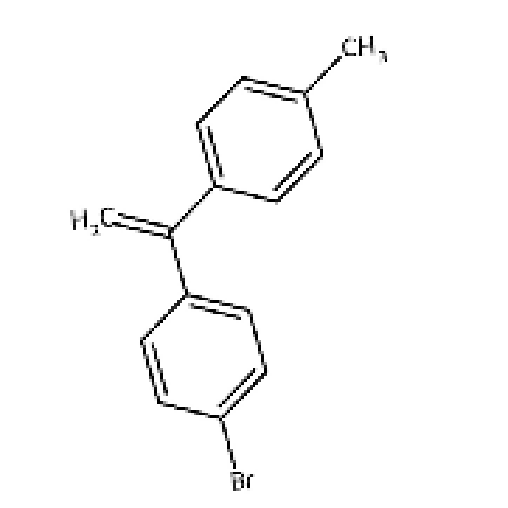 C=C(c1ccc(C)cc1)c1ccc(Br)cc1